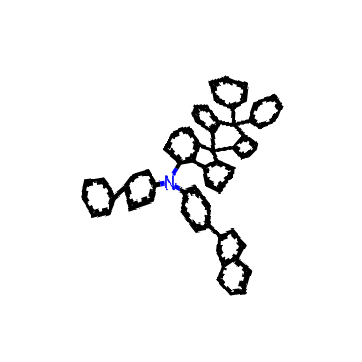 c1ccc(-c2ccc(N(c3ccc(-c4ccc5ccccc5c4)cc3)c3cccc4c3-c3ccccc3C43c4ccccc4C(c4ccccc4)(c4ccccc4)c4ccccc43)cc2)cc1